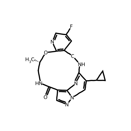 C[C@H]1CNC(=O)c2cnn3cc(C4CC4)c(nc23)NCc2cc(F)cnc2O1